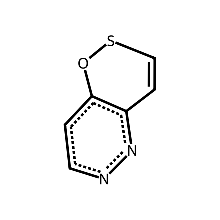 C1=Cc2nnccc2OS1